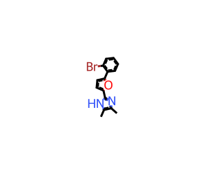 Cc1nc(-c2ccc(-c3ccccc3Br)o2)[nH]c1C